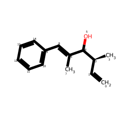 C=C[C@H](C)C(O)/C(C)=C/c1ccccc1